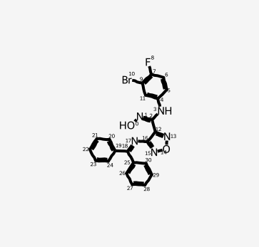 ON=C(Nc1ccc(F)c(Br)c1)c1nonc1N=C(c1ccccc1)c1ccccc1